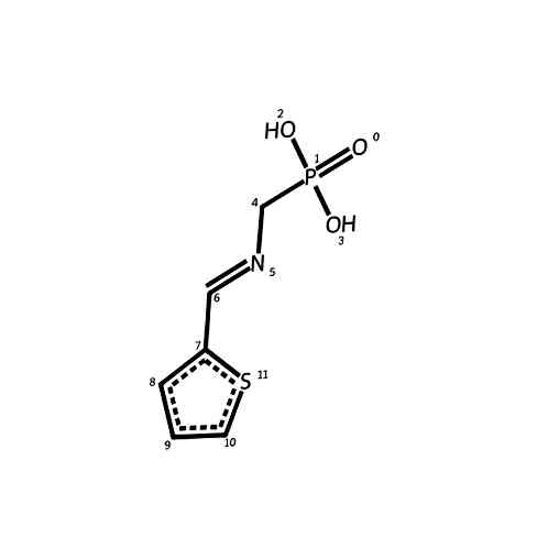 O=P(O)(O)CN=Cc1cccs1